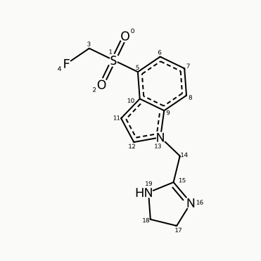 O=S(=O)(CF)c1cccc2c1ccn2CC1=NCCN1